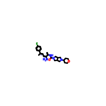 C=C(NC(=O)N1CC2CN(C3CCOCC3)CC2C1)/C(N)=C\C=C(/C)c1ccc(F)cc1